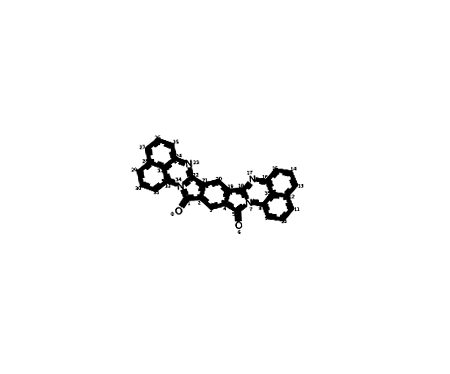 O=c1c2cc3c(=O)n4c5cccc6cccc(nc4c3cc2c2nc3cccc4cccc(c43)n12)c65